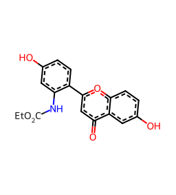 CCOC(=O)Nc1cc(O)ccc1-c1cc(=O)c2cc(O)ccc2o1